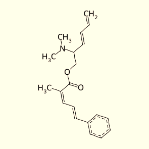 C=CC=CC(COC(=O)C(C)=CC=Cc1ccccc1)N(C)C